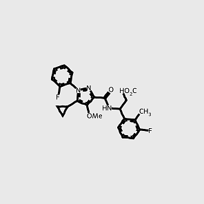 COc1c(C(=O)NC(CC(=O)O)c2cccc(F)c2C)nn(-c2ccccc2F)c1C1CC1